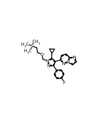 C[Si](C)(C)CCOCn1nc(-c2ccc(F)cc2)c(-c2ccc3nccn3n2)c1C1CC1